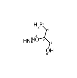 OCC(O)CP.[NaH]